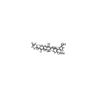 COc1ccc(NC(=O)Nc2cc3ccc(OC4CCN(C)CC4)c(C)c3oc2=O)cc1-c1cccc(O)c1